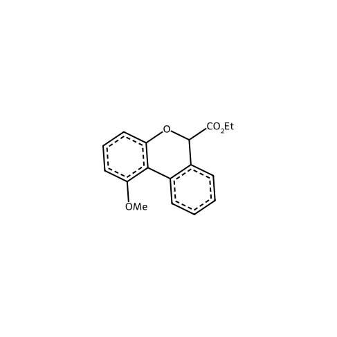 CCOC(=O)C1Oc2cccc(OC)c2-c2ccccc21